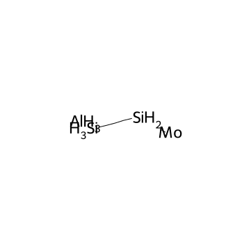 [AlH3].[SiH3][SiH2][Mo]